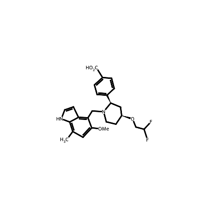 COc1cc(C)c2[nH]ccc2c1CN1CC[C@H](OCC(F)F)C[C@@H]1c1ccc(C(=O)O)cc1